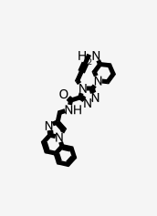 CC#CCn1c(C(=O)NCc2cn3c(ccc4ccccc43)n2)nnc1N1CCCC(N)C1